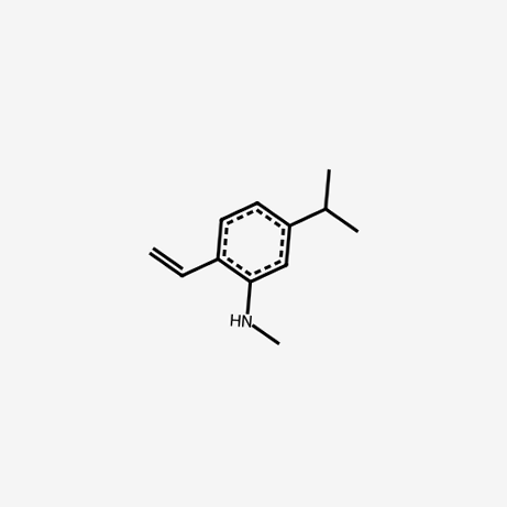 C=Cc1ccc(C(C)C)cc1NC